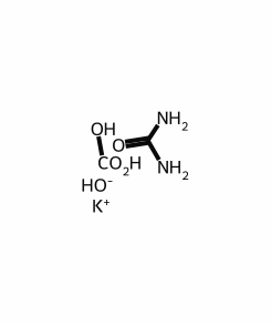 NC(N)=O.O=C(O)O.[K+].[OH-]